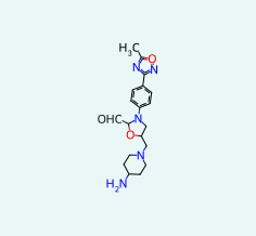 Cc1nc(-c2ccc(N3CC(CN4CCC(N)CC4)OC3C=O)cc2)no1